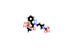 CC(C)(C)N1C(=O)C(NCCC2CN(C(=O)O)C2)=C(c2ccccc2)S1(O)O